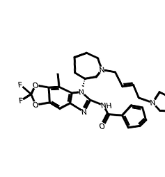 Cc1c2c(cc3nc(NC(=O)c4ccccc4)n([C@@H]4CCCCN(C/C=C/CN5CCCC5)C4)c13)OC(F)(F)O2